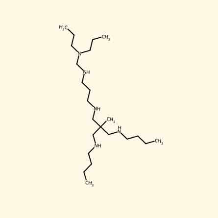 CCCCNCC(C)(CNCCCC)CNCCCNCN(CCC)CCC